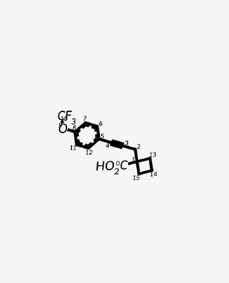 O=C(O)C1(CC#Cc2ccc(OC(F)(F)F)cc2)CCC1